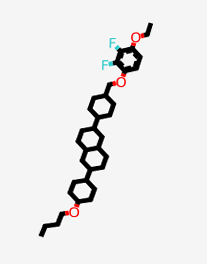 CCCCOC1CCC(C2CCC3CC(C4CCC(COc5ccc(OCC)c(F)c5F)CC4)CCC3C2)CC1